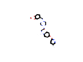 CC(=O)N(CC(=O)N1CCN(Cc2ccc3c(c2)OCO3)CC1)c1ccc(Oc2ccc([N+](=O)[O-])cn2)cc1